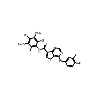 COc1c(Cl)c(NC(=O)c2csc3c(Nc4ccc(F)c(C)c4)ncnc23)c(I)c(OC)c1Br